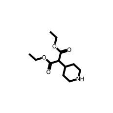 CCOC(=O)C(C(=O)OCC)C1CCNCC1